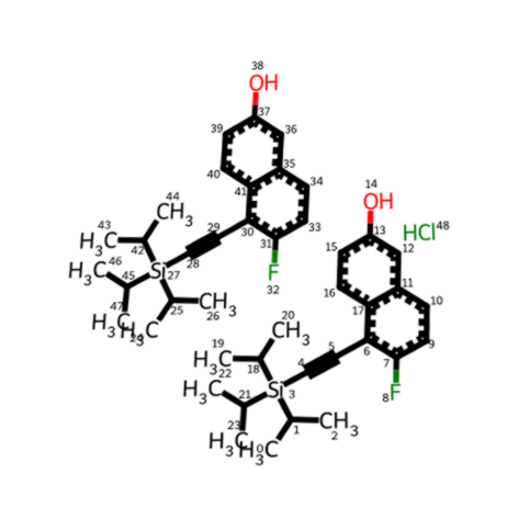 CC(C)[Si](C#Cc1c(F)ccc2cc(O)ccc12)(C(C)C)C(C)C.CC(C)[Si](C#Cc1c(F)ccc2cc(O)ccc12)(C(C)C)C(C)C.Cl